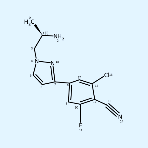 C[C@@H](N)Cn1ccc(-c2cc(F)c(C#N)c(Cl)c2)n1